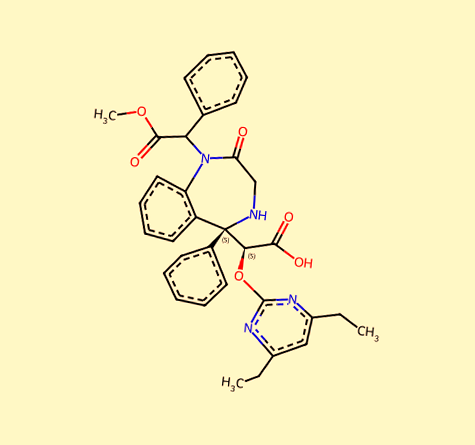 CCc1cc(CC)nc(O[C@H](C(=O)O)[C@@]2(c3ccccc3)NCC(=O)N(C(C(=O)OC)c3ccccc3)c3ccccc32)n1